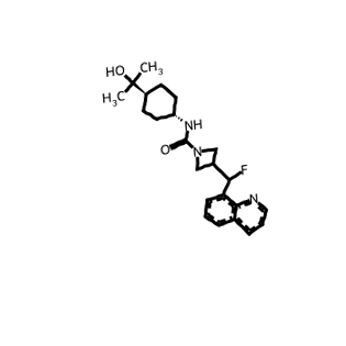 CC(C)(O)[C@H]1CC[C@H](NC(=O)N2CC(C(F)c3cccc4cccnc34)C2)CC1